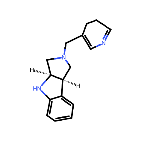 C1=NC=C(CN2C[C@@H]3Nc4ccccc4[C@@H]3C2)CC1